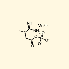 CN(CC(=O)OP(=O)([O-])[O-])C(=N)N.[Mn+2]